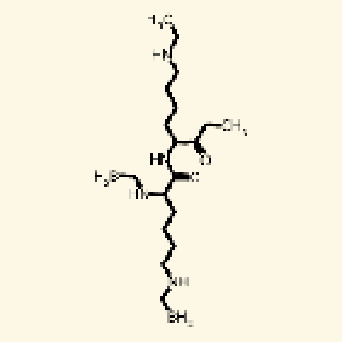 BCNCCCCC(NCB)C(=O)NC(CCCCNCC)C(=O)CC